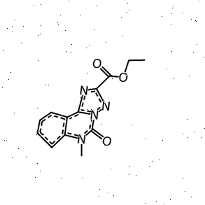 CCOC(=O)c1nc2c3ccccc3n(C)c(=O)n2n1